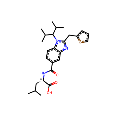 CC(C)C[C@H](NC(=O)c1ccc2c(c1)nc(Cc1cccs1)n2C(C(C)C)C(C)C)C(=O)O